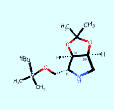 CC1(C)O[C@H]2[C@H](CN[C@@H]2CO[Si](C)(C)C(C)(C)C)O1